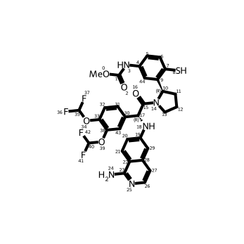 COC(=O)Nc1ccc(S)c([C@H]2CCCN2C(=O)[C@H](Nc2ccc3c(N)nccc3c2)c2ccc(OC(F)F)c(OC(F)F)c2)c1